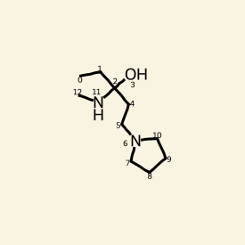 CCC(O)(CCN1CCCC1)NC